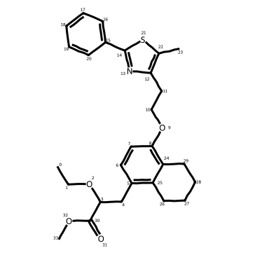 CCOC(Cc1ccc(OCCc2nc(-c3ccccc3)sc2C)c2c1CCCC2)C(=O)OC